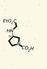 CCOC(=O)CN[C@H]1CCN(C(=O)O)C1